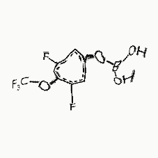 OB(O)Oc1cc(F)c(OC(F)(F)F)c(F)c1